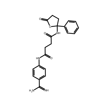 N=C(N)c1ccc(NC(=O)CCC(=O)NC2(c3ccccc3)CCC(=O)O2)cc1